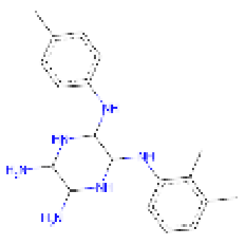 Cc1ccc(NC2NC(N)C(N)NC2Nc2cccc(C)c2C)cc1